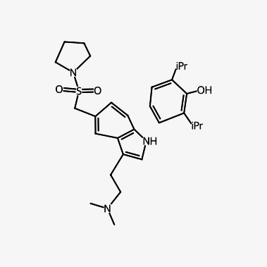 CC(C)c1cccc(C(C)C)c1O.CN(C)CCc1c[nH]c2ccc(CS(=O)(=O)N3CCCC3)cc12